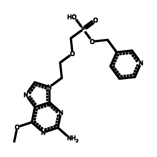 COc1nc(N)nc2c1ncn2CCOCP(=O)(O)OCc1cccnc1